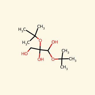 CC(C)(C)OC(O)C(O)(CO)OC(C)(C)C